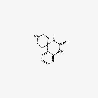 CN1C(=O)Nc2ccccc2C12CCNCC2